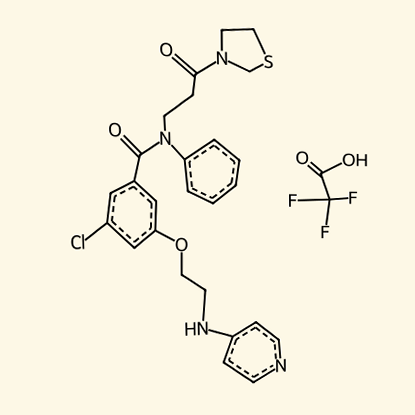 O=C(CCN(C(=O)c1cc(Cl)cc(OCCNc2ccncc2)c1)c1ccccc1)N1CCSC1.O=C(O)C(F)(F)F